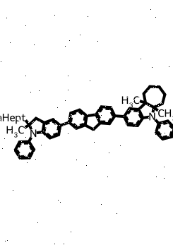 CCCCCCCC1(C)Cc2cc(-c3ccc4c(c3)Cc3cc(-c5ccc6c(c5)C5(C)CCCCCC5(C)N6c5ccccc5)ccc3-4)ccc2N1c1ccccc1